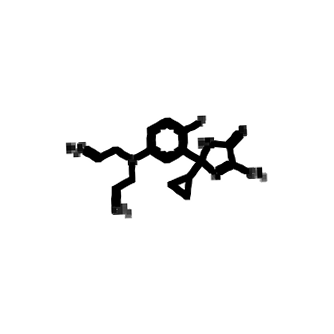 C=CCN(CC=C)c1ccc(F)c(C2(C3CC3)N=C(C)C(=S)N2)c1